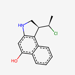 C[C@@H](Cl)[C@@H]1CNc2cc(O)c3ccccc3c21